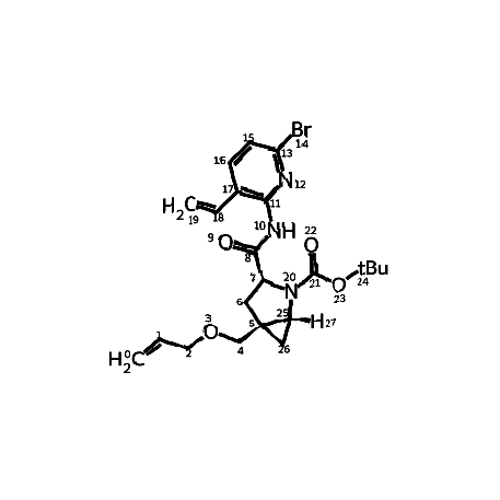 C=CCOC[C@@]12C[C@@H](C(=O)Nc3nc(Br)ccc3C=C)N(C(=O)OC(C)(C)C)[C@@H]1C2